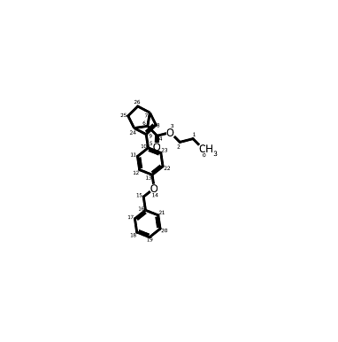 CCCOC(=O)C1C2C=C(c3ccc(OCc4ccccc4)cc3)C1CC2